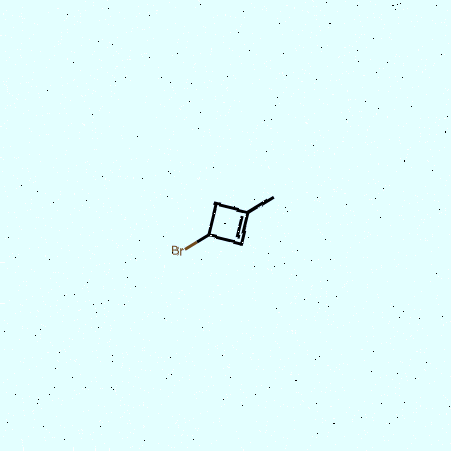 CC1=CC(Br)C1